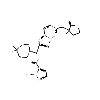 CCn1nccc1C(=O)N[C@H](c1cn2nc(CC3(C(=O)O)C[C@@H](C(F)(F)F)NC3=O)ccc2n1)C1CCC(F)(F)CC1